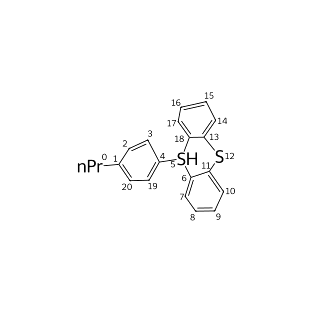 CCCc1ccc([SH]2c3ccccc3Sc3ccccc32)cc1